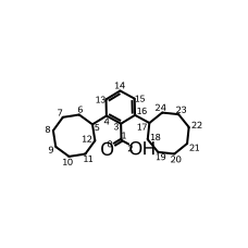 O=C(O)c1c(C2CCCCCCC2)cccc1C1CCCCCCC1